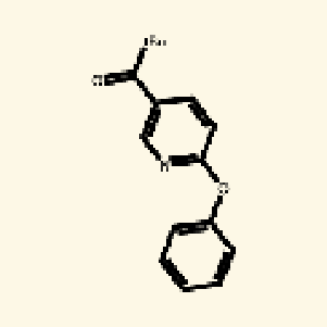 CC(C)(C)C(=O)c1ccc(Oc2ccccc2)nc1